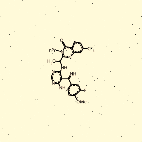 CCCn1c(C(C)Nc2ncnc(N)c2C(=N)c2ccc(OC)c(F)c2)nc2cc(C(F)(F)F)ccc2c1=O